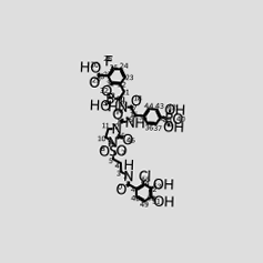 O=C(NCCCS(=O)(=O)N1CCN(C(=O)NC(C(=O)N[C@H]2Cc3ccc(F)c(C(=O)O)c3OB2O)c2ccc(P(=O)(O)O)cc2)C1=O)c1ccc(O)c(O)c1Cl